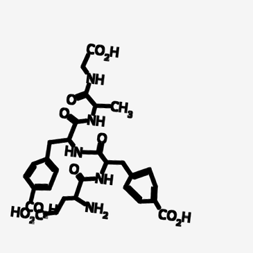 CC(NC(=O)C(Cc1ccc(C(=O)O)cc1)NC(=O)C(Cc1ccc(C(=O)O)cc1)NC(=O)C(N)CCC(=O)O)C(=O)NCC(=O)O